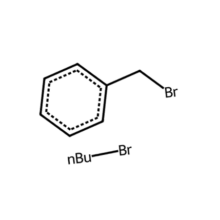 BrCc1ccccc1.CCCCBr